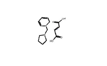 C1=CCN(CN2CCCC2)C=C1.O=C(O)/C=C/C(=O)O